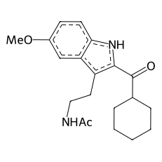 COc1ccc2[nH]c(C(=O)C3CCCCC3)c(CCNC(C)=O)c2c1